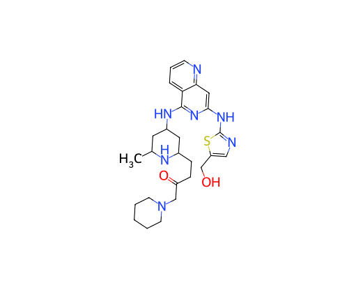 CC1CC(Nc2nc(Nc3ncc(CO)s3)cc3ncccc23)CC(CCC(=O)CN2CCCCC2)N1